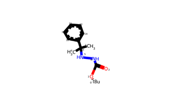 CC(C)(C)OC(=O)NNC(C)(C)c1ccccc1